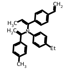 C=Cc1ccc(/C(=C/C)N(C(=C)c2ccc(C)cc2)c2ccc(CC)cc2)cc1